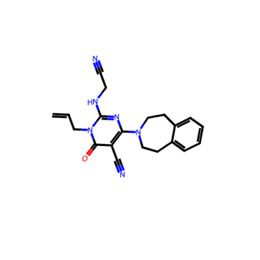 C=CCn1c(NCC#N)nc(N2CCc3ccccc3CC2)c(C#N)c1=O